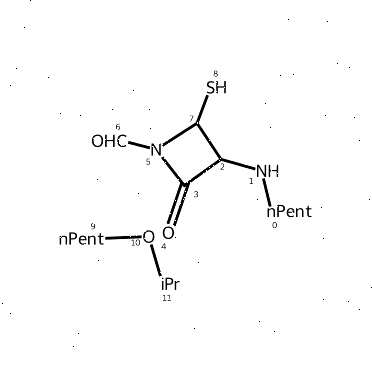 CCCCCNC1C(=O)N(C=O)C1S.CCCCCOC(C)C